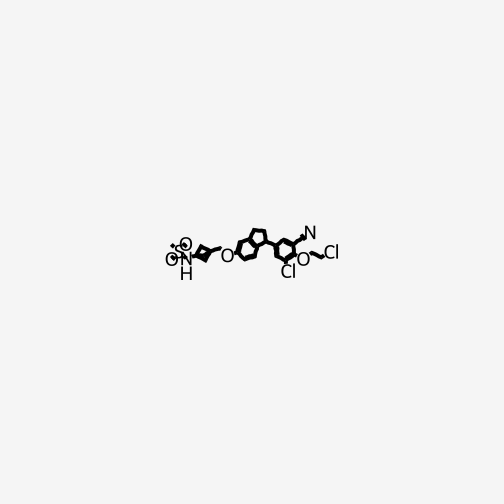 CS(=O)(=O)NC12CC(COc3ccc4c(c3)CCC4c3cc(Cl)c(OCCCl)c(C#N)c3)(C1)C2